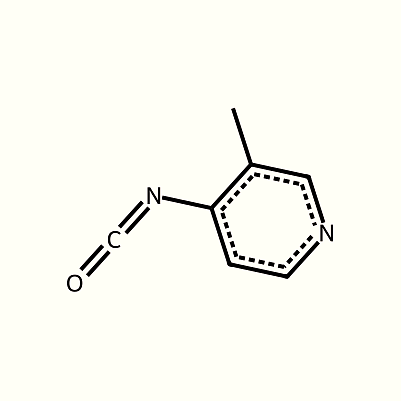 Cc1cnccc1N=C=O